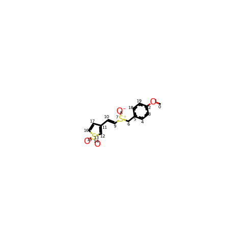 COc1ccc(C[S+]([O-])C=CC2=CS(=O)(=O)C=C2)cc1